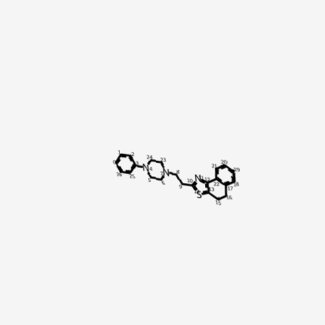 c1ccc(N2CCN(CCc3nc4c(s3)CCc3ccccc3-4)CC2)cc1